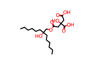 CCCCCCC(O)(CCCCCC)COC(=O)CC(O)(CC(=O)O)C(=O)O